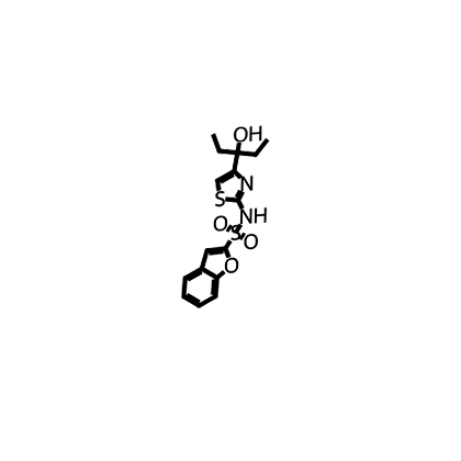 CCC(O)(CC)c1csc(NS(=O)(=O)c2cc3ccccc3o2)n1